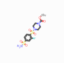 CC(C)(C)OC(=O)N1CCN(S(=O)(=O)c2ccc(S(N)(=O)=O)cc2F)CC1